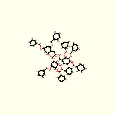 O=C(O[C@@H]1Cc2c(OCc3ccccc3)cc(OCc3ccccc3)cc2O[C@@H]1c1cc(OCc2ccccc2)c(OCc2ccccc2)c(OCc2ccccc2)c1)c1ccc(OCc2ccccc2)c(OCc2ccccc2)c1OCc1ccccc1